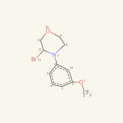 FC(F)(F)Oc1cc[c]c(N2CCOCC2Br)c1